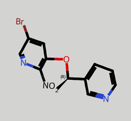 C[C@@H](Oc1cc(Br)cnc1[N+](=O)[O-])c1cccnc1